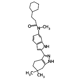 CN(C(=O)CCC1CCCCC1)c1ccc2cc(-c3n[nH]c4c3CCC(C)(C)C4)[nH]c2c1